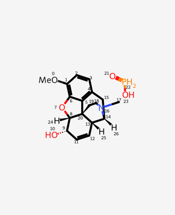 COc1ccc2c3c1O[C@H]1[C@@H](O)C=C[C@H]4[C@@H](C2)N(C)CC[C@@]341.O=[PH2]O